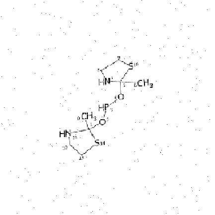 CC1(OPOC2(C)NCCS2)NCCS1